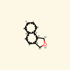 c1ccc2c3c(ccc2c1)COC3